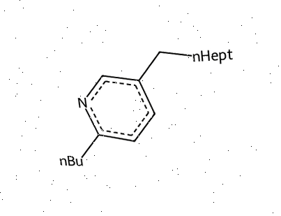 CCCCCCCCc1ccc(CCCC)nc1